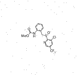 COC(=O)Nc1ccccc1C[S+]([O-])c1ncc(C(F)(F)F)cc1Cl